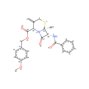 C=C1CS[C@H]2[C@H](NC(=O)c3ccccc3)C(=O)N2C1C(=O)OCc1ccc(OC)cc1